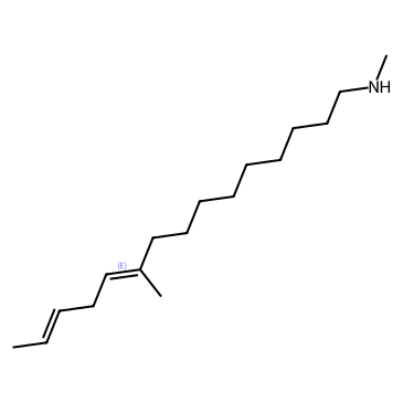 CC=CC/C=C(\C)CCCCCCCCCNC